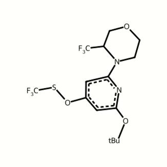 CC(C)(C)Oc1cc(OSC(F)(F)F)cc(N2CCOCC2C(F)(F)F)n1